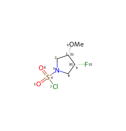 CO[C@H]1CN(S(=O)(=O)Cl)C[C@H]1F